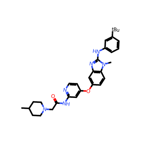 CC1CCN(CC(=O)Nc2cc(Oc3ccc4c(c3)nc(Nc3cccc(C(C)(C)C)c3)n4C)ccn2)CC1